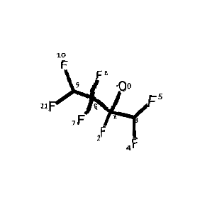 [O]C(F)(C(F)F)C(F)(F)C(F)F